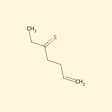 C=CCCC(=S)CC